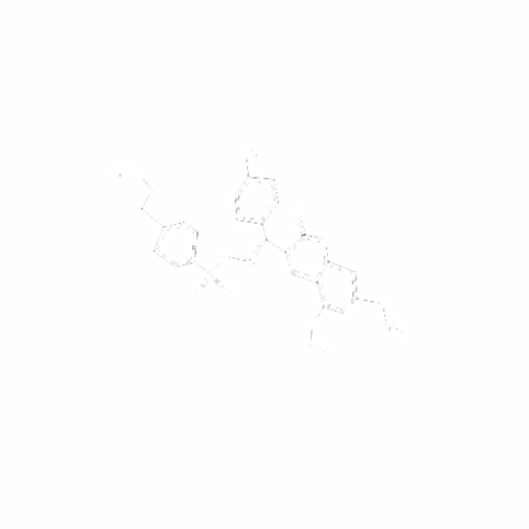 CCCCCCCCCCCCc1ccc(S(=O)(=O)ON=C(c2ccc(C#N)cc2)c2cc3c(OCCCC)cc(OCCCC)cc3oc2=O)cc1